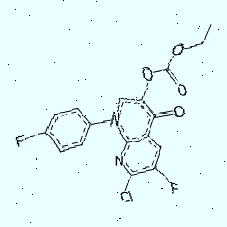 CCOC(=O)Oc1cn(-c2ccc(F)cc2)c2nc(Cl)c(F)cc2c1=O